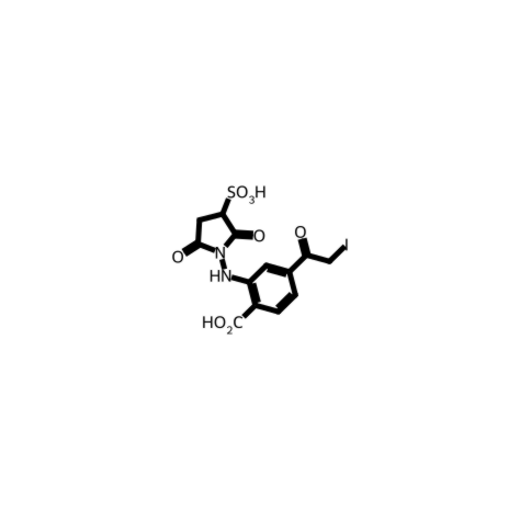 O=C(CI)c1ccc(C(=O)O)c(NN2C(=O)CC(S(=O)(=O)O)C2=O)c1